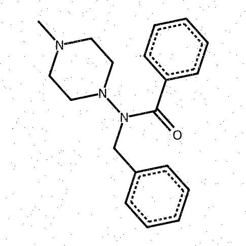 CN1CCN(N(Cc2ccccc2)C(=O)c2[c]cccc2)CC1